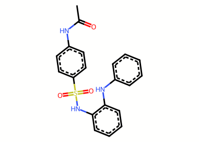 CC(=O)Nc1ccc(S(=O)(=O)Nc2ccccc2Nc2ccccc2)cc1